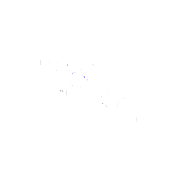 C#Cc1ccc(CCc2cccc(N(CCC)[C@H](S)CC)n2)c(F)c1